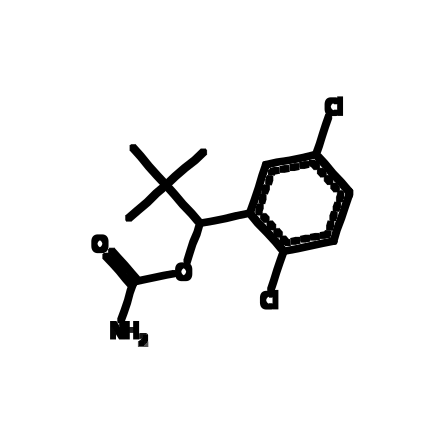 CC(C)(C)C(OC(N)=O)c1cc(Cl)ccc1Cl